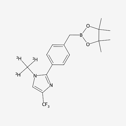 [2H]C([2H])([2H])n1cc(C(F)(F)F)nc1-c1ccc(CB2OC(C)(C)C(C)(C)O2)cc1